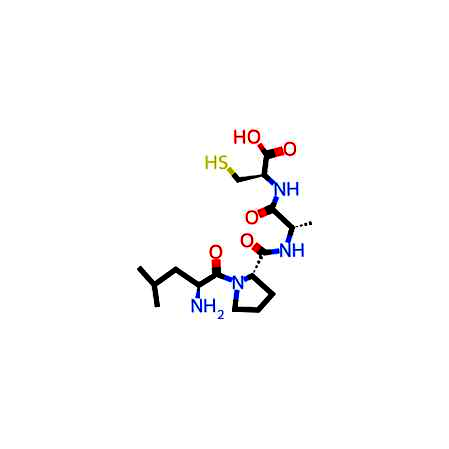 CC(C)C[C@H](N)C(=O)N1CCC[C@H]1C(=O)N[C@@H](C)C(=O)N[C@@H](CS)C(=O)O